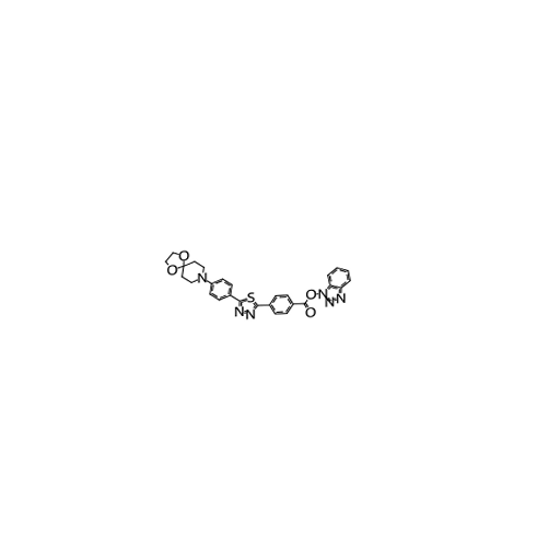 O=C(On1nnc2ccccc21)c1ccc(-c2nnc(-c3ccc(N4CCC5(CC4)OCCO5)cc3)s2)cc1